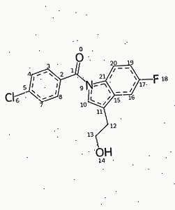 O=C(c1ccc(Cl)cc1)n1cc(CCO)c2cc(F)ccc21